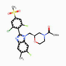 COC(=O)N1CCO[C@@H](Cn2c(-c3c(F)cc(S(C)(=O)=O)cc3Cl)nc3cc(C)c(F)cc32)C1